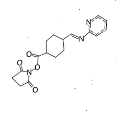 O=C(ON1C(=O)CCC1=O)C1CCC(C=Nc2ccccn2)CC1